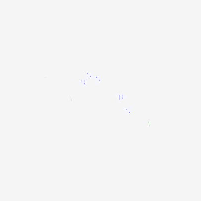 Cc1c(-c2ccc3nc(CC(C)(C)F)cn3c2)nnn1-c1ccc(F)cc1F